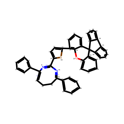 C1=C(c2ccccc2)/N=C(c2ccc(-c3cccc4c3Oc3ccccc3C43c4ccccc4-c4ccccc43)s2)\N=C(\c2ccccc2)CC\1